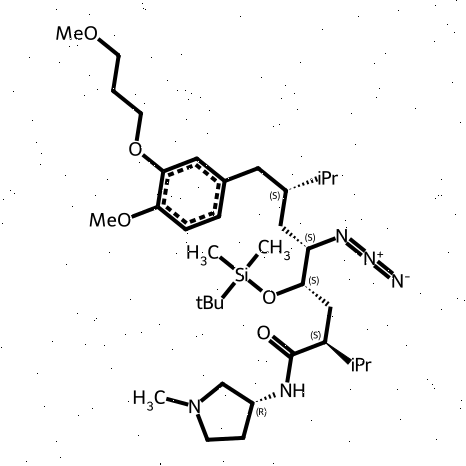 COCCCOc1cc(C[C@@H](C[C@H](N=[N+]=[N-])[C@H](C[C@H](C(=O)N[C@@H]2CCN(C)C2)C(C)C)O[Si](C)(C)C(C)(C)C)C(C)C)ccc1OC